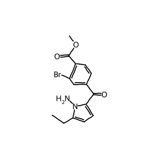 CCc1ccc(C(=O)c2ccc(C(=O)OC)c(Br)c2)n1N